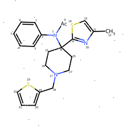 CC(=O)N(c1ccccc1)C1(c2nc(C)cs2)CCN(Cc2cccs2)CC1